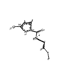 CCCCNC(=O)n1ccc([O])n1